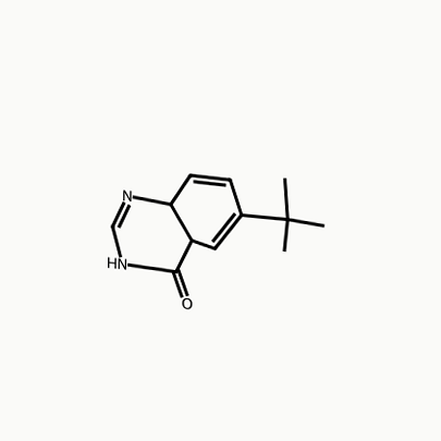 CC(C)(C)C1=CC2C(=O)NC=NC2C=C1